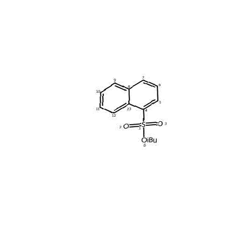 CC(C)COS(=O)(=O)c1cccc2ccccc12